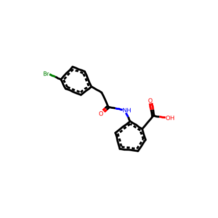 O=C(Cc1ccc(Br)cc1)Nc1ccccc1C(=O)O